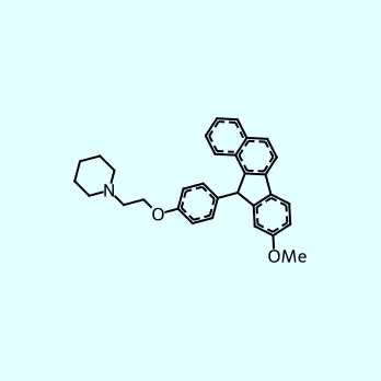 COc1ccc2c(c1)C(c1ccc(OCCN3CCCCC3)cc1)c1c-2ccc2ccccc12